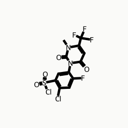 Cn1c(C(F)(F)F)cc(=O)n(-c2cc(S(=O)(=O)Cl)c(Cl)cc2F)c1=O